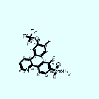 Cc1ccc(-c2cccnc2-c2ccc(S(N)(=O)=O)c(F)c2)cc1OC(F)(F)F